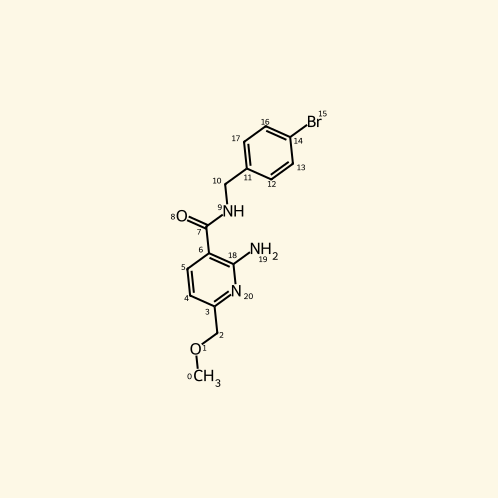 COCc1ccc(C(=O)NCc2ccc(Br)cc2)c(N)n1